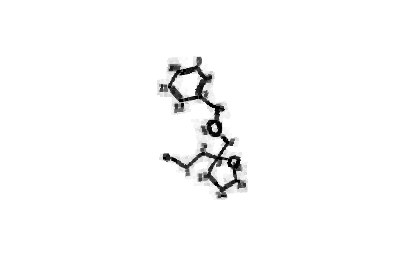 CCCC1(COCc2ccccc2)CCCO1